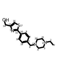 CCN1CCN(Cc2ccc(-c3nc(CO)cs3)cc2)CC1